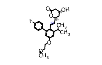 COCCOc1cc(-c2ccc(F)cc2)c(/C=C/[C@@H]2C[C@@H](O)CC(=O)O2)c(C(C)C)c1